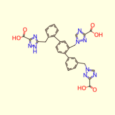 O=C(O)c1n[nH]c(Cc2ccccc2-c2ccc(-c3cccc(Cn4cnc(C(=O)O)n4)c3)c(Cn3cnc(C(=O)O)n3)c2)n1